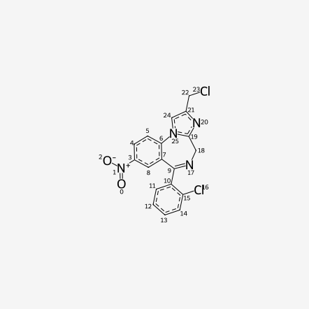 O=[N+]([O-])c1ccc2c(c1)C(c1ccccc1Cl)=NCc1nc(CCl)cn1-2